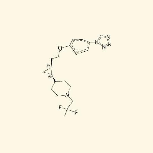 CC(F)(F)CN1CCC([C@H]2C[C@H]2CCOc2ccc(-n3cnnn3)cc2)CC1